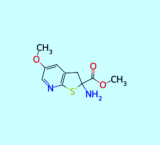 COC(=O)C1(N)Cc2cc(OC)cnc2S1